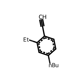 C#Cc1ccc(CCCC)cc1CC